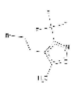 Cc1onc(C(F)(F)F)c1CCBr